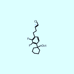 CCCCCCCCC1(c2ccc(CC/C=C/Cl)c(F)c2F)CCCCC1